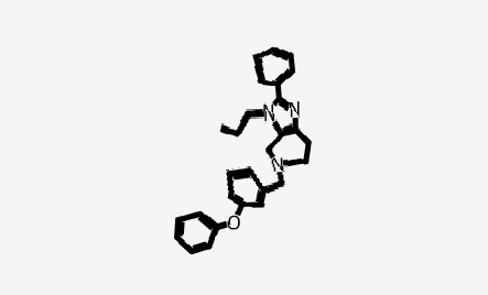 CCCn1c(-c2ccccc2)nc2c1CN(Cc1cccc(Oc3ccccc3)c1)CC2